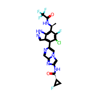 C[C@H](NC(=O)C(F)(F)F)c1c(F)c(Cl)c(-c2cn3cc(NC(=O)[C@@H]4C[C@@H]4F)nc3cn2)c2cn[nH]c12